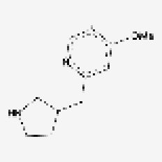 COc1cc(CC2CCNC2)ncn1